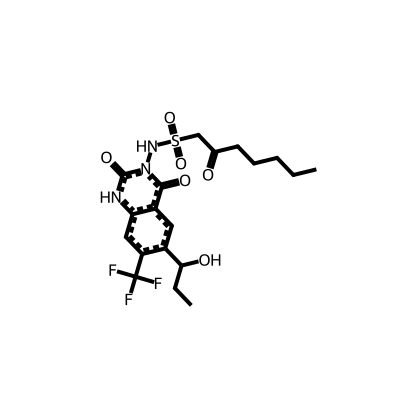 CCCCCC(=O)CS(=O)(=O)Nn1c(=O)[nH]c2cc(C(F)(F)F)c(C(O)CC)cc2c1=O